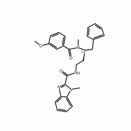 COc1cccc(C(=O)N(C)[C@H](CCNC(=O)c2nc3ccccc3n2C)Cc2ccccc2)c1